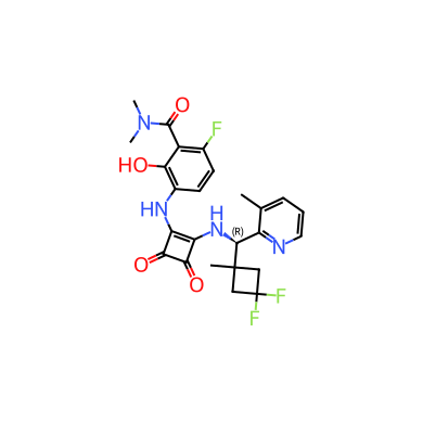 Cc1cccnc1[C@H](Nc1c(Nc2ccc(F)c(C(=O)N(C)C)c2O)c(=O)c1=O)C1(C)CC(F)(F)C1